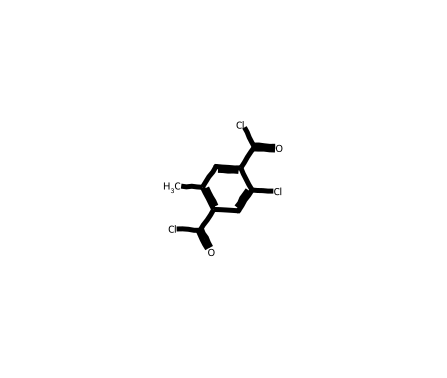 Cc1cc(C(=O)Cl)c(Cl)cc1C(=O)Cl